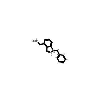 O=CCc1cccc2c1cnn2Cc1ccccc1